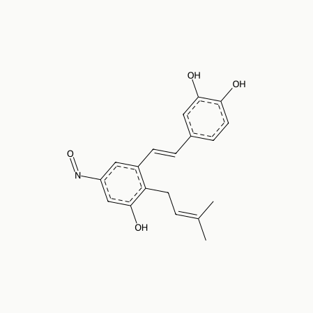 CC(C)=CCc1c(O)cc(N=O)cc1/C=C/c1ccc(O)c(O)c1